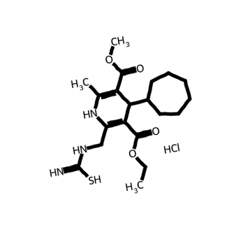 CCOC(=O)C1=C(CNC(=N)S)NC(C)=C(C(=O)OC)C1C1CCCCCC1.Cl